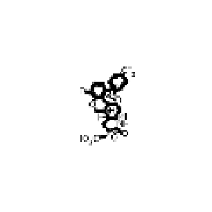 O=C(O)C[C@@H]1C[C@@H]2[C@@H](CC[C@@]3(S(=O)(=O)c4ccc(C(F)(F)F)cc4)c4c(F)ccc(F)c4OC[C@@H]23)NS1(=O)=O